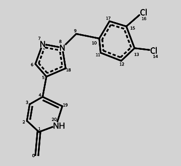 C=C1C=CC(c2cnn(Cc3ccc(Cl)c(Cl)c3)c2)=CN1